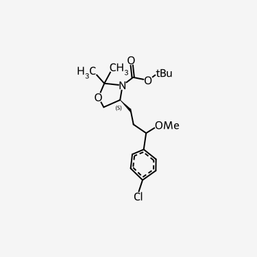 COC(CC[C@H]1COC(C)(C)N1C(=O)OC(C)(C)C)c1ccc(Cl)cc1